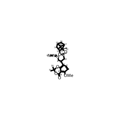 COc1ccc(C(CN=[N+]=[N-])CB2OC3CC4CC(C4(C)C)[C@]3(C)O2)c2c1C(=O)OC(C)(C)O2